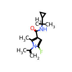 C=C(C)n1c(F)cc(C(=O)NC(C)(C)C2CC2)c1C